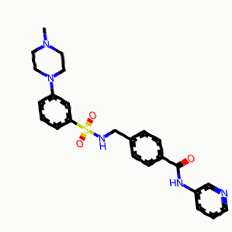 CN1CCN(c2cccc(S(=O)(=O)NCc3ccc(C(=O)Nc4cccnc4)cc3)c2)CC1